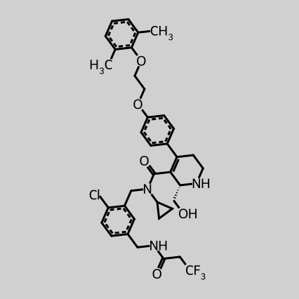 Cc1cccc(C)c1OCCOc1ccc(C2=C(C(=O)N(Cc3cc(CNC(=O)CC(F)(F)F)ccc3Cl)C3CC3)[C@@H](CO)NCC2)cc1